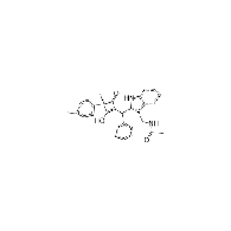 CC(=O)NCc1c(C(C2=C(O)C(C)(c3ccc(C)cc3)C2=O)c2ccccc2)[nH]c2ccccc12